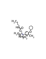 C=CCCNC(=O)OC/C(=C(/N)c1ccc(OC2CCCCC2)c(C)n1)N(C)N